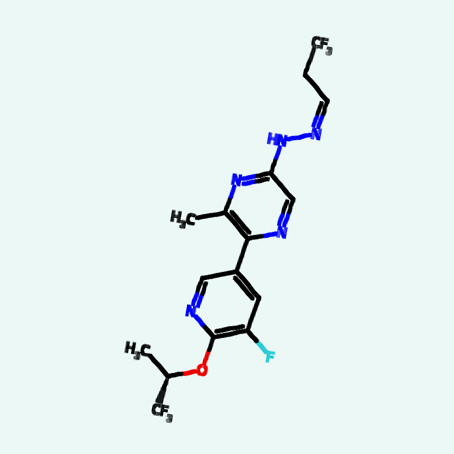 Cc1nc(N/N=C\CC(F)(F)F)cnc1-c1cnc(O[C@H](C)C(F)(F)F)c(F)c1